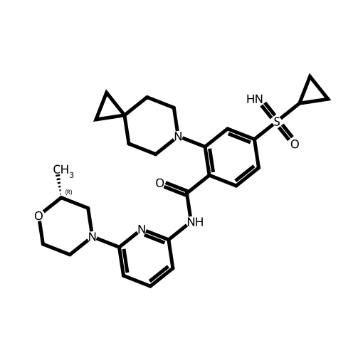 C[C@@H]1CN(c2cccc(NC(=O)c3ccc(S(=N)(=O)C4CC4)cc3N3CCC4(CC3)CC4)n2)CCO1